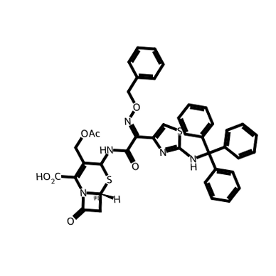 CC(=O)OCC1=C(C(=O)O)N2C(=O)C[C@H]2SC1NC(=O)C(=NOCc1ccccc1)c1csc(NC(c2ccccc2)(c2ccccc2)c2ccccc2)n1